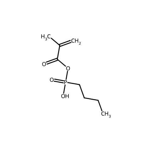 C=C(C)C(=O)OP(=O)(O)CCCC